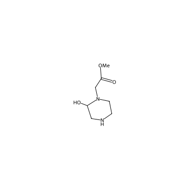 COC(=O)CN1CCNCC1O